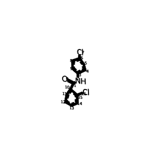 O=C(Nc1ccc(Cl)cc1)c1[c]cccc1Cl